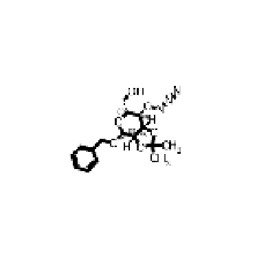 CC1(C)O[C@@H]2[C@H](O1)[C@@H](OCc1ccccc1)O[C@H](CO)[C@H]2ON=[N+]=[N-]